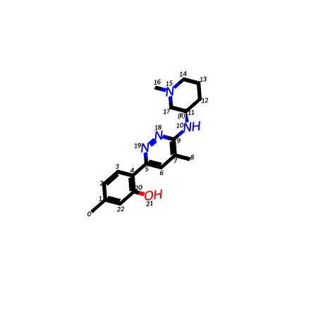 Cc1ccc(-c2cc(C)c(N[C@@H]3CCCN(C)C3)nn2)c(O)c1